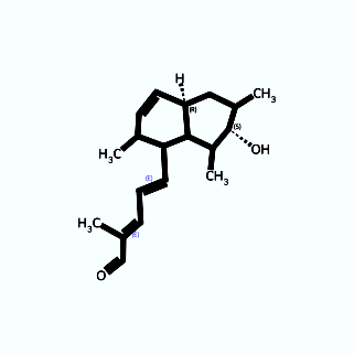 C/C(C=O)=C\C=C\C1C(C)C=C[C@H]2CC(C)[C@H](O)C(C)C12